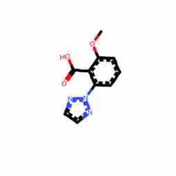 COc1cccc(-n2nccn2)c1C(=O)O